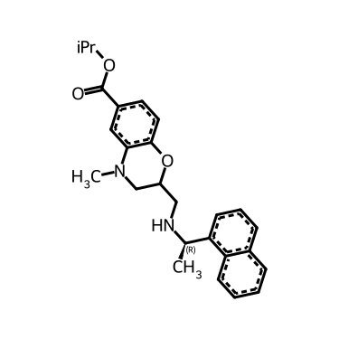 CC(C)OC(=O)c1ccc2c(c1)N(C)CC(CN[C@H](C)c1cccc3ccccc13)O2